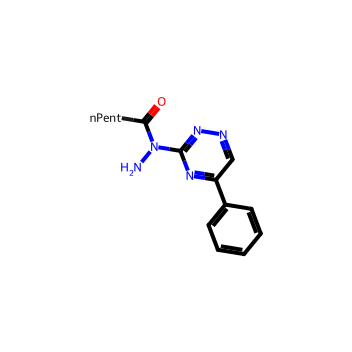 CCCCCC(=O)N(N)c1nncc(-c2ccccc2)n1